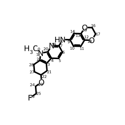 Cn1c2c(c3ccc(Nc4ccc5c(c4)OCCO5)nc31)CC(OCCF)CC2